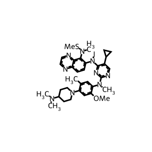 COc1cc(N2CCC(N(C)C)CC2)c(C)cc1N(C)c1ncc(C2CC2)c(N(I)c2ccc3nccnc3c2N(C)SC)n1